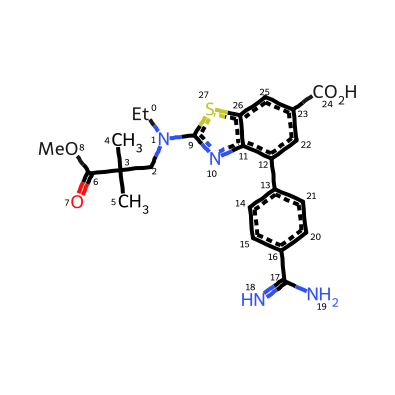 CCN(CC(C)(C)C(=O)OC)c1nc2c(-c3ccc(C(=N)N)cc3)cc(C(=O)O)cc2s1